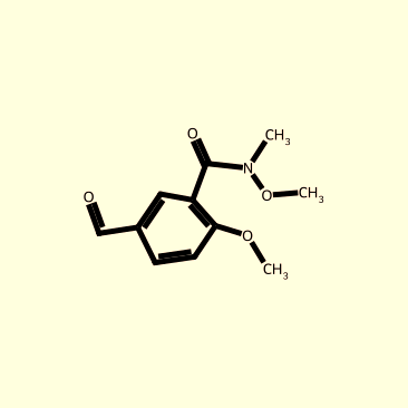 COc1ccc(C=O)cc1C(=O)N(C)OC